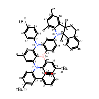 Cc1cc2c3c(c1)N(c1ccc(C(C)(C)C)cc1-c1ccccc1)c1ccc(C(C)(C)C)cc1B3c1ccc(N3c4c(C)cc(C)cc4C4(C)CCc5ccccc5C34C)cc1N2c1ccc(C(C)(C)C)cc1